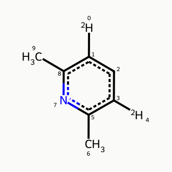 [2H]c1cc([2H])c(C)nc1C